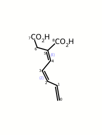 C=C/C=C\C=C(/CC(=O)O)C(=O)O